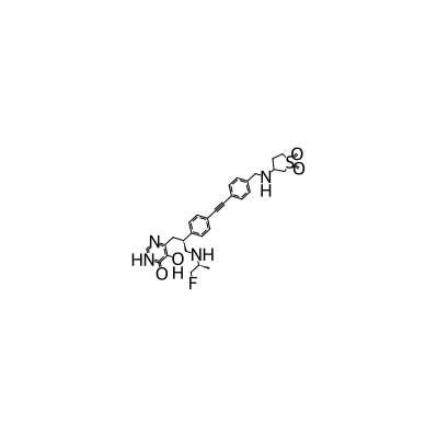 C[C@@H](CF)NC[C@@H](Cc1nc[nH]c(=O)c1O)c1ccc(C#Cc2ccc(CNC3CCS(=O)(=O)C3)cc2)cc1